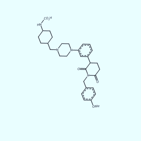 COc1ccc(CN2C(=O)CCC(c3cccc(N4CCN(CC5CCC(NC(=O)O)CC5)CC4)c3)C2=O)cc1